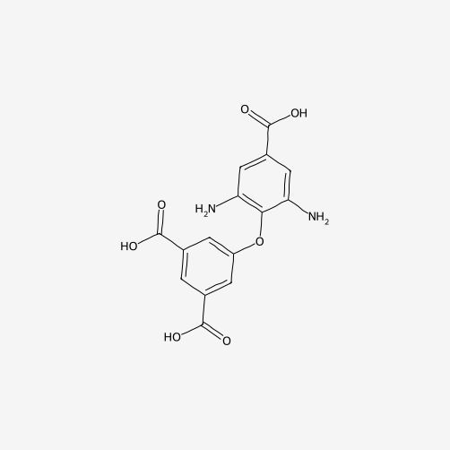 Nc1cc(C(=O)O)cc(N)c1Oc1cc(C(=O)O)cc(C(=O)O)c1